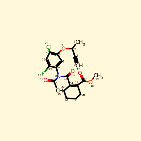 C#CC(C)Oc1cc(N(C(C)=O)C(=O)C2=C(C(=O)OC)CCCC2)c(F)cc1Cl